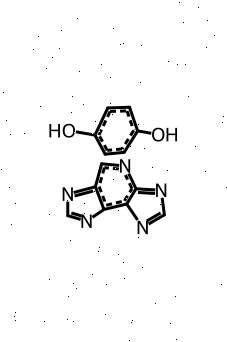 C1=Nc2c3c(ncc2=N1)=NC=N3.Oc1ccc(O)cc1